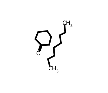 CCCCCCCC.O=C1CCCCC1